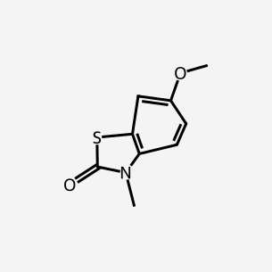 COc1ccc2c(c1)sc(=O)n2C